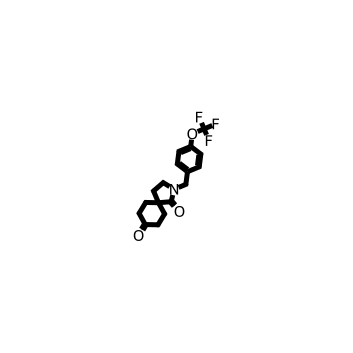 O=C1CCC2(CC1)CCN(Cc1ccc(OC(F)(F)F)cc1)C2=O